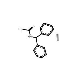 C=C.NC(=O)NC(c1ccccc1)c1ccccc1